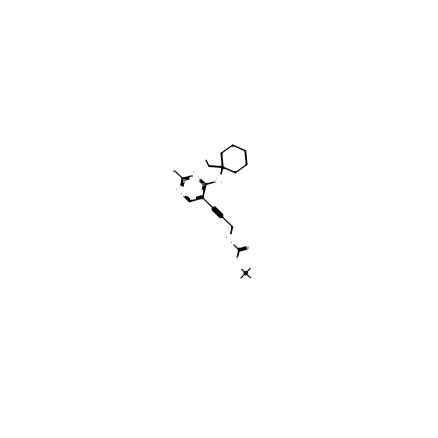 CC(C)(C)OC(=O)NCC#Cc1cnc(Cl)nc1NC1(CO)CCCCC1